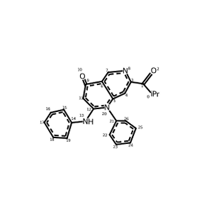 CC(C)C(=O)c1cc2c(cn1)c(=O)cc(Nc1ccccc1)n2-c1ccccc1